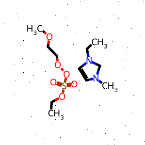 CCN1C=CN(C)C1.CCOS(=O)(=O)OOCCOC